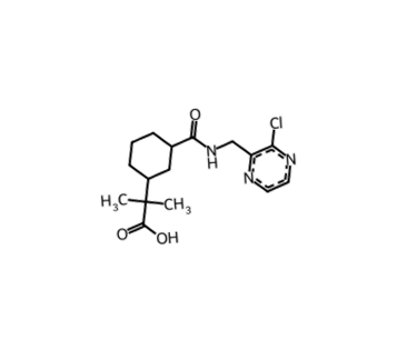 CC(C)(C(=O)O)C1CCCC(C(=O)NCc2nccnc2Cl)C1